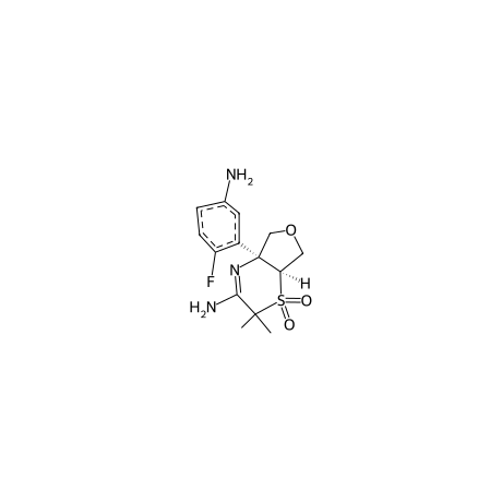 CC1(C)C(N)=N[C@@]2(c3cc(N)ccc3F)COC[C@H]2S1(=O)=O